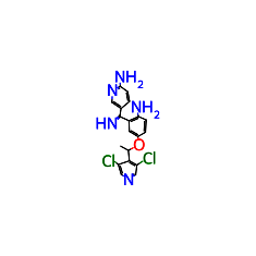 CC(Oc1ccc(N)c(C(=N)c2ccc(N)nc2)c1)c1c(Cl)cncc1Cl